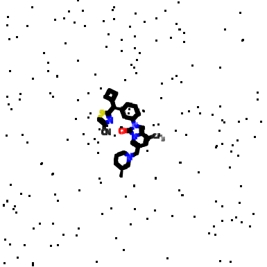 C[C@H]1CCCN(Cc2cc(C(F)(F)F)c3cn(C4CCCC([C@@H](c5nc(C#N)cs5)C5CCC5)C4)c(=O)n3c2)C1